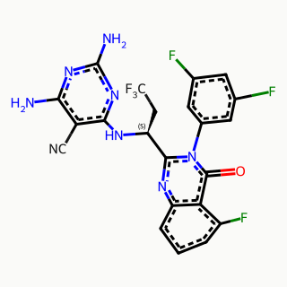 N#Cc1c(N)nc(N)nc1N[C@@H](CC(F)(F)F)c1nc2cccc(F)c2c(=O)n1-c1cc(F)cc(F)c1